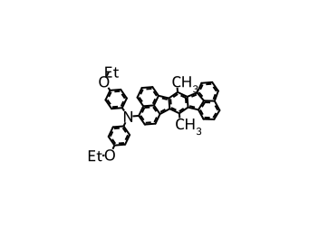 CCOc1ccc(N(c2ccc(OCC)cc2)c2ccc3c4c(C)c5c6cccc7cccc(c5c(C)c4c4cccc2c43)c76)cc1